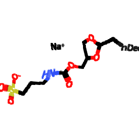 CCCCCCCCCCCC1OCC(COC(=O)NCCCS(=O)(=O)[O-])O1.[Na+]